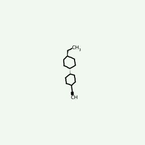 C#CC1CCC([C@H]2CC[C@H](CC)CC2)CC1